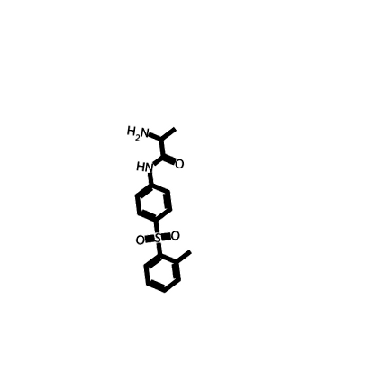 Cc1ccccc1S(=O)(=O)c1ccc(NC(=O)C(C)N)cc1